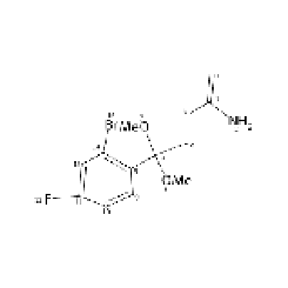 C=C(N)CCC(OC)(OC)c1ccc(F)cc1Br